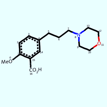 COc1ccc(CCCN2CCOCC2)cc1C(=O)O